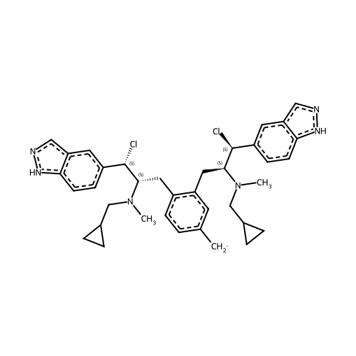 [CH2]c1ccc(C[C@@H]([C@@H](Cl)c2ccc3[nH]ncc3c2)N(C)CC2CC2)c(C[C@@H]([C@@H](Cl)c2ccc3[nH]ncc3c2)N(C)CC2CC2)c1